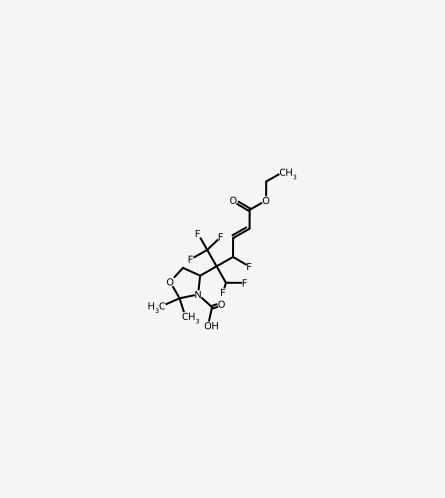 CCOC(=O)C=CC(F)C(C(F)F)(C1COC(C)(C)N1C(=O)O)C(F)(F)F